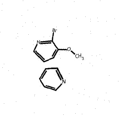 COc1cccnc1Br.c1ccncc1